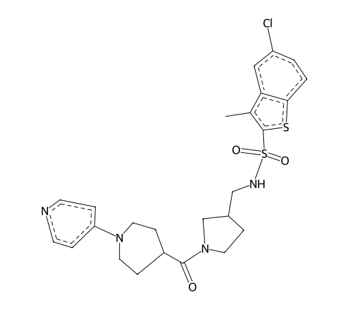 Cc1c(S(=O)(=O)NCC2CCN(C(=O)C3CCN(c4ccncc4)CC3)C2)sc2ccc(Cl)cc12